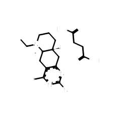 CCN1CCC[C@@H]2Cc3nc(N)nc(Cl)c3C[C@H]21.O=C(O)CCC(=O)O